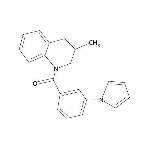 CC1Cc2ccccc2N(C(=O)c2cccc(-n3cccc3)c2)C1